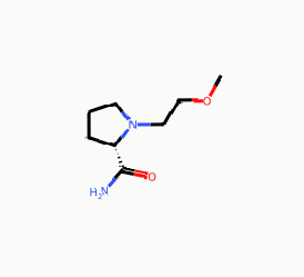 COCCN1CC[CH][C@H]1C(N)=O